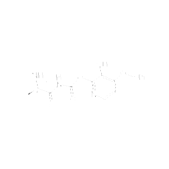 CCCOc1ccnc(OC(=O)NC(=O)[C@@H](C)N)c1O